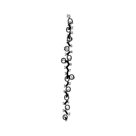 COCCOCCOCCOCCOC(=O)CCCCC(=O)OCCOCCOCCOCCOC